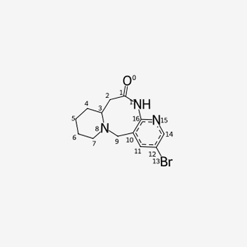 O=C1CC2CCCCN2Cc2cc(Br)cnc2N1